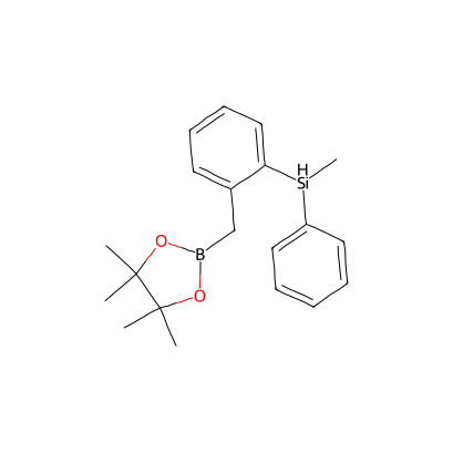 C[SiH](c1ccccc1)c1ccccc1CB1OC(C)(C)C(C)(C)O1